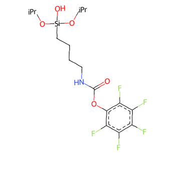 CC(C)O[Si](O)(CCCCNC(=O)Oc1c(F)c(F)c(F)c(F)c1F)OC(C)C